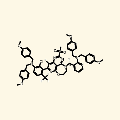 COc1ccc(CN(Cc2ccc(OC)cc2)c2ccc(C(F)(F)F)c(-c3nc4c5c(nc(S(C)(=O)=O)nc5c3F)N([C@H](C)c3cccnc3N(Cc3ccc(OC)cc3)Cc3ccc(OC)cc3)CCO4)c2Cl)cc1